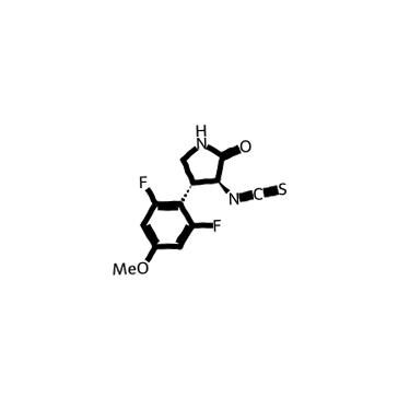 COc1cc(F)c([C@@H]2CNC(=O)[C@H]2N=C=S)c(F)c1